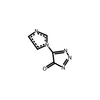 O=C1N=NN=C1n1ccnc1